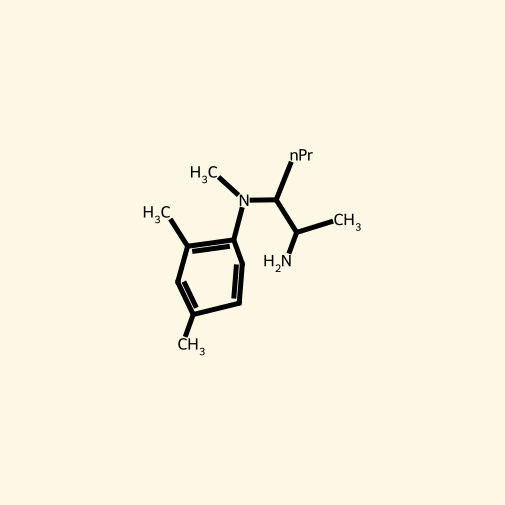 CCCC(C(C)N)N(C)c1ccc(C)cc1C